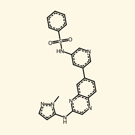 Cn1nccc1Nc1cnc2ccc(-c3cncc(NS(=O)(=O)c4ccccc4)c3)cc2n1